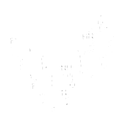 O=C(N[C@@H](c1ccc(CF)cc1)c1ncccc1F)c1ccc2ccc(=O)[nH]c2c1